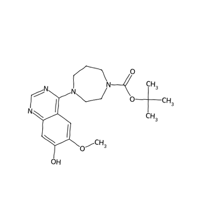 COc1cc2c(N3CCCN(C(=O)OC(C)(C)C)CC3)ncnc2cc1O